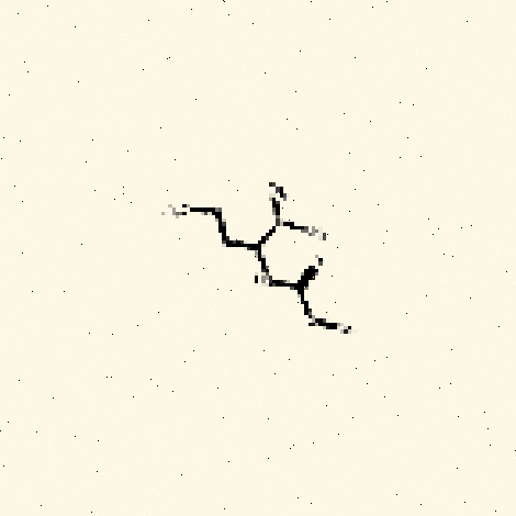 CCCCOC(=O)NC(CCC(=O)O)N(C)C